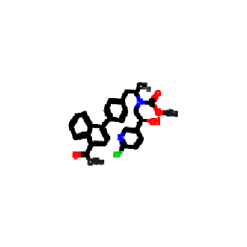 COC(=O)c1ccc(-c2ccc(C[C@@H](C)N(C[C@@H](O)c3ccc(Cl)nc3)C(=O)OC(C)(C)C)cc2)c2ccccc12